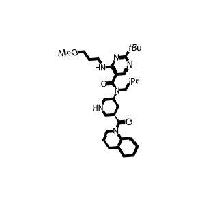 COCCCNc1nc(C(C)(C)C)ncc1C(=O)N(CC(C)C)[C@@H]1CNC[C@H](C(=O)N2CCCC3CCCCC32)C1